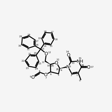 Cc1cn([C@H]2CC(OC=O)[C@@H](COC(c3ccccc3)(c3ccccc3)c3ccccc3)O2)c(=O)[nH]c1=O